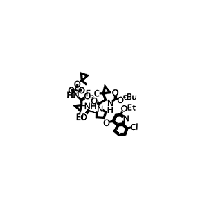 CCOc1cc(O[C@@H]2C[C@@H](C(=O)N[C@]3(C(=O)NS(=O)(=O)OC4(C)CC4)C[C@H]3CC)N(C(=O)[C@@H](NC(=O)OC(C)(C)C)C3(C(F)(F)F)CC3)C2)c2cccc(Cl)c2n1